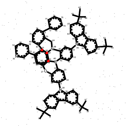 CC(C)(C)c1ccc2c(c1)c1cc(C(C)(C)C)ccc1n2-c1ccc2c(c1)Oc1cc(-c3cccnc3)cc3c1B2c1ccc(-n2c4ccc(C(C)(C)C)cc4c4cc(C(C)(C)C)ccc42)cc1N3Cc1c(-c2ccccc2)cccc1-c1ccccc1